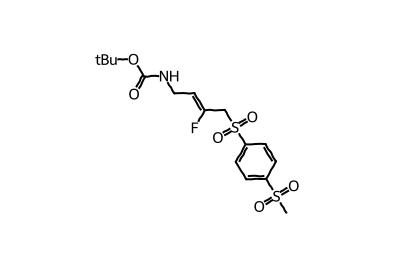 CC(C)(C)OC(=O)NC/C=C(\F)CS(=O)(=O)c1ccc(S(C)(=O)=O)cc1